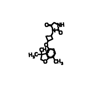 Cc1ccc(OC2CC(N3C(=O)CNC3=O)C2)c2c1OCC2(C)C